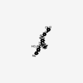 Cc1noc(C)c1S(=O)(=O)N1Cc2cc3c(cc2C[C@H]1C(=O)NC(Cc1ccc(-c2ccc(C#N)cc2)cc1)C(=O)O)N(C)C(=O)[C@H](c1ccc(OCc2ccc(Cl)c(Cl)c2)cc1)O3